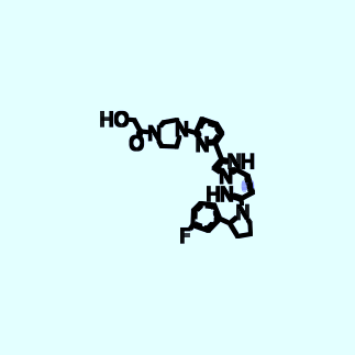 N=C(/C=C\c1ncc(-c2cccc(N3CCN(C(=O)CO)CC3)n2)[nH]1)N1CCCC1c1cccc(F)c1